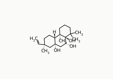 C=C[C@@]1(C)CC[C@H]2[C@@](O)(C[C@@H](O)[C@@]3(O)C(C)(C)CCC[C@]23C)C1